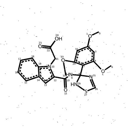 COc1cc(OC)c(C2(NC(=O)c3cc4ccccc4n3CC(=O)O)N=CSN2)c(OC)c1